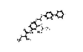 CC(C)Oc1cc(NC(=O)[C@@H](N)CO)ccc1OCCc1ccc(-c2ccccc2)cc1